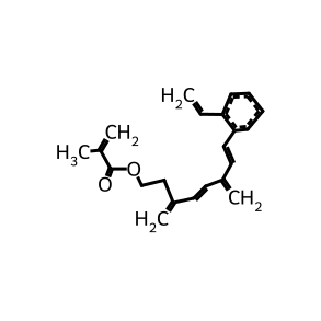 C=Cc1ccccc1C=CC(=C)C=CC(=C)CCOC(=O)C(=C)C